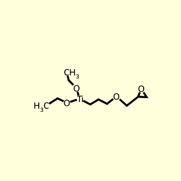 CC[O][Ti]([CH2]CCOCC1CO1)[O]CC